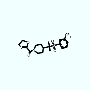 CC(C)(C1CCN(C(=O)C2=NCCO2)CC1)S(=O)(=O)c1cccc(C(F)(F)F)c1